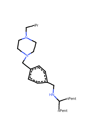 CCCCCC(CCCCC)NCc1ccc(CN2CCN(CC(C)C)CC2)cc1